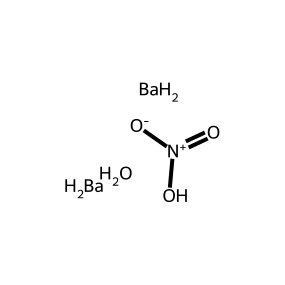 O.O=[N+]([O-])O.[BaH2].[BaH2]